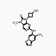 Cc1cc2ncnn2cc1Nc1ncc2c(n1)n(C1CC(O)C1)c(=O)n2C